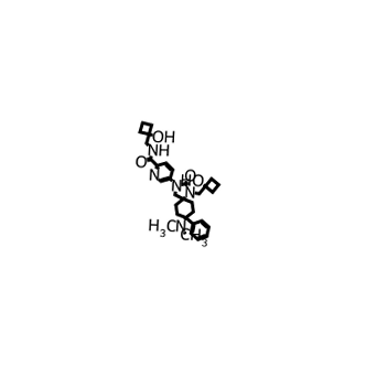 CN(C)C1(c2ccccc2)CCC2(CC1)CN(c1ccc(C(=O)NCC3(O)CCC3)nc1)C(=O)N2CC1(O)CCC1